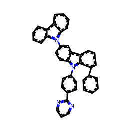 c1ccc(-c2cccc3c4cc(-n5c6ccccc6c6ccccc65)ccc4n(-c4ccc(-c5ncccn5)cc4)c23)cc1